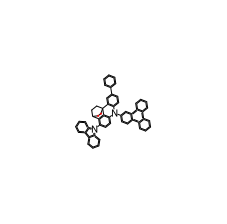 c1ccc(-c2ccc3c(c2)C24CCC(CC2)c2c(-n5c6ccccc6c6ccccc65)ccc(c24)N3c2ccc3c4ccccc4c4ccccc4c3c2)cc1